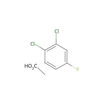 CC(=O)O.Fc1ccc(Cl)c(Cl)c1